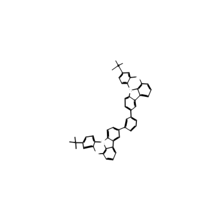 CC(C)(C)c1ccc2c(c1)Oc1cccc3c4cc(-c5cccc(-c6ccc7c(c6)c6cccc8c6n7-c6ccc(C(C)(C)C)cc6O8)c5)ccc4n-2c13